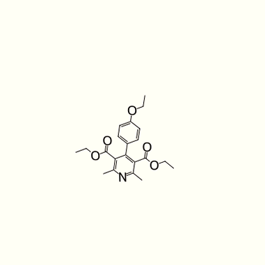 CCOC(=O)c1c(C)nc(C)c(C(=O)OCC)c1-c1ccc(OCC)cc1